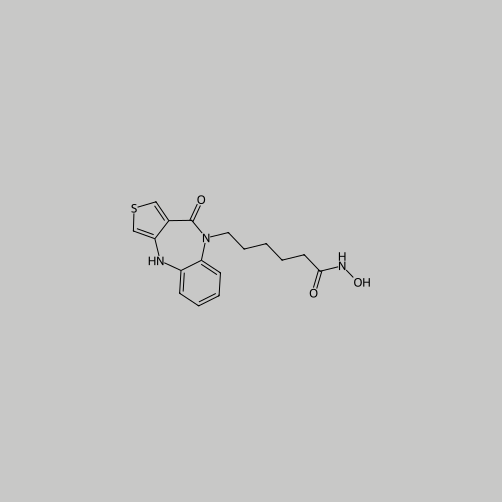 O=C(CCCCCN1C(=O)c2cscc2Nc2ccccc21)NO